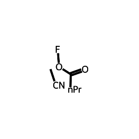 CC#N.CCCC(=O)OF